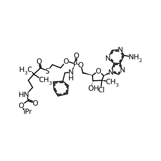 CC(C)OC(=O)NCCC(C)(C)C(=O)SCCO[P@@](=O)(NCc1ccccc1)OC[C@H]1O[C@@H](n2cnc3c(N)ncnc32)[C@](C)(Cl)[C@@H]1O